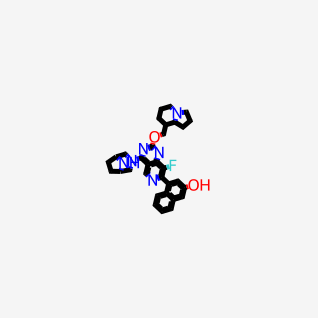 Oc1cc(-c2ncc3c(N4CC5CCC(C4)N5)nc(OCC4CCCN5CCCC45)nc3c2F)c2ccccc2c1